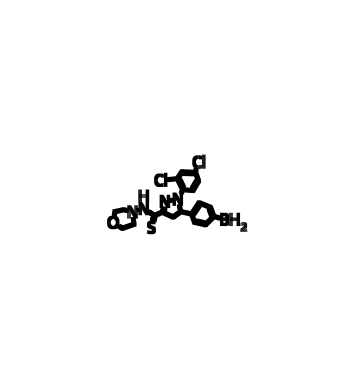 Bc1ccc(C2CC(C(=S)NN3CCOCC3)=NN2c2ccc(Cl)cc2Cl)cc1